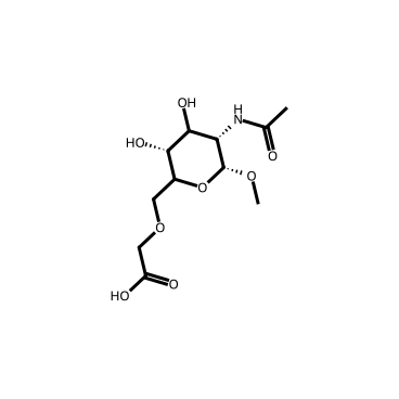 CO[C@@H]1OC(COCC(=O)O)[C@H](O)C(O)[C@@H]1NC(C)=O